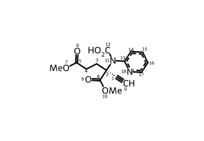 C#C[C@@](CCC(=O)OC)(C(=O)OC)N(C(=O)O)c1ccccn1